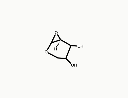 OC1COC2O[C@H]2C1O